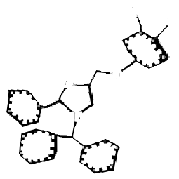 Clc1ccc(OCC2CN(C(c3ccccc3)c3ccccc3)C(c3ccccc3)O2)cc1Cl